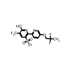 CCS(=O)(=O)c1cc(C(F)(F)F)c(O)nc1-c1ccc(OCC(C)(F)F)cn1